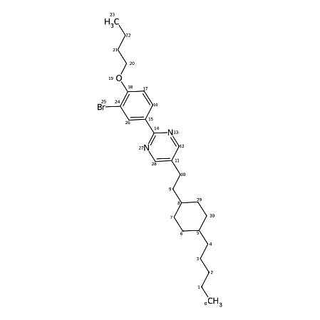 CCCCCC1CCC(CCc2cnc(-c3ccc(OCCCC)c(Br)c3)nc2)CC1